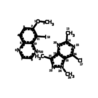 COc1ccc2nccnc2c1I.Cc1nc(Cl)c2c(n1)c(C)nn2C